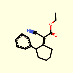 CCOC(=O)C(C#N)=C1CCCCC1c1ccccc1